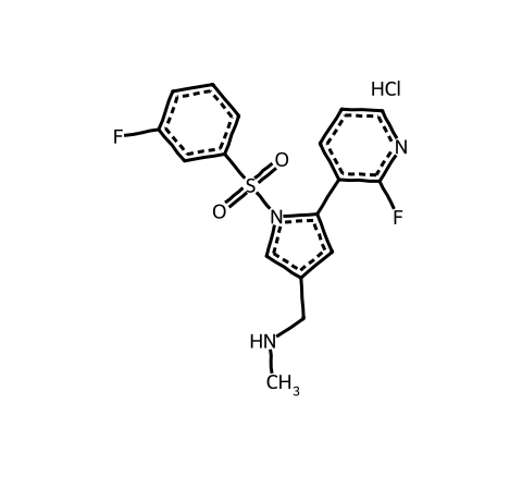 CNCc1cc(-c2cccnc2F)n(S(=O)(=O)c2cccc(F)c2)c1.Cl